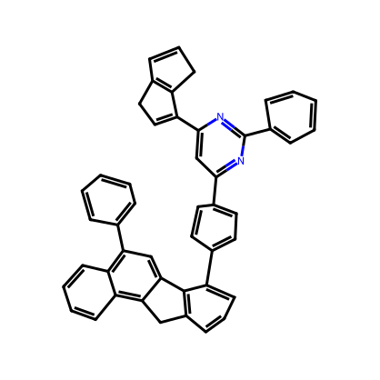 C1=CC2=C(C1)C(c1cc(-c3ccc(-c4cccc5c4-c4cc(-c6ccccc6)c6ccccc6c4C5)cc3)nc(-c3ccccc3)n1)=CC2